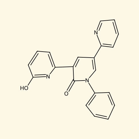 O=c1c(-c2cccc(O)n2)cc(-c2ccccn2)cn1-c1ccccc1